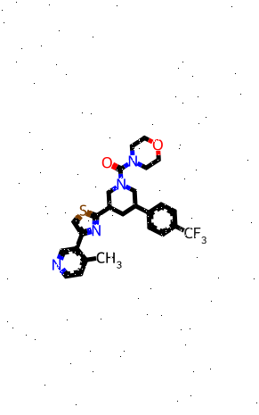 Cc1ccncc1-c1csc(C2CC(c3ccc(C(F)(F)F)cc3)CN(C(=O)N3CCOCC3)C2)n1